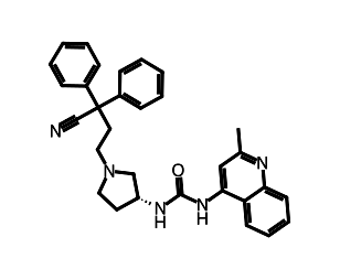 Cc1cc(NC(=O)N[C@@H]2CCN(CCC(C#N)(c3ccccc3)c3ccccc3)C2)c2ccccc2n1